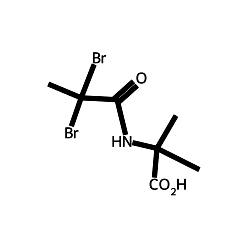 CC(Br)(Br)C(=O)NC(C)(C)C(=O)O